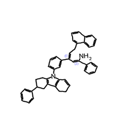 N/C(=C\C(=C/Cc1cccc2ccccc12)c1cccc(-n2c3c(c4c2CCC(c2ccccc2)C4)CCC=C3)c1)c1ccccc1